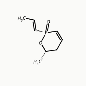 C/C=C/[P@]1(=O)C=CC[C@H](C)O1